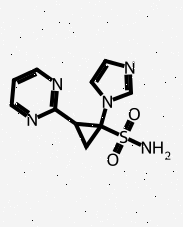 NS(=O)(=O)C1(n2ccnc2)CC1c1ncccn1